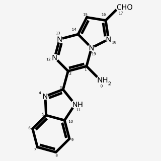 Nc1c(-c2nc3ccccc3[nH]2)nnc2cc(C=O)nn12